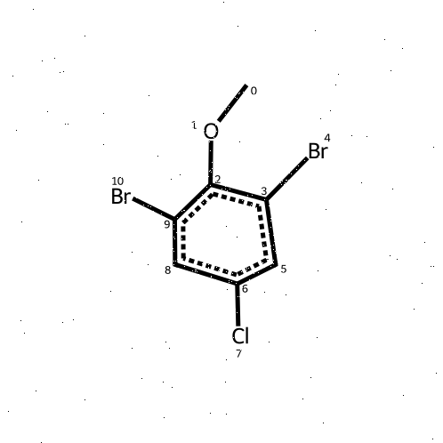 COc1c(Br)cc(Cl)cc1Br